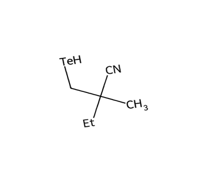 CCC(C)(C#N)C[TeH]